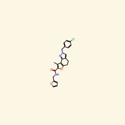 Cc1c(C(=O)NCc2ccco2)oc2c1-c1nn(Cc3ccc(Cl)cc3)cc1CC2